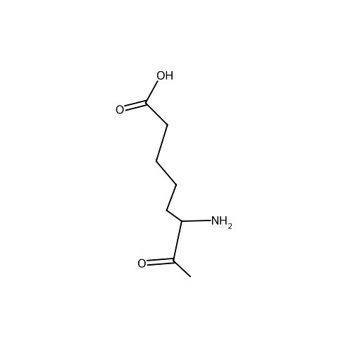 CC(=O)C(N)CCCCC(=O)O